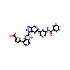 CC(=O)c1ccc(-c2cncc3[nH]c(-c4n[nH]c5cnc(-c6cncc(NC(=O)c7ccccc7)c6)cc45)nc23)s1